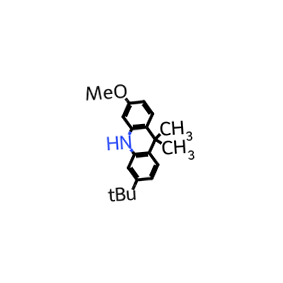 COc1ccc2c(c1)Nc1cc(C(C)(C)C)ccc1C2(C)C